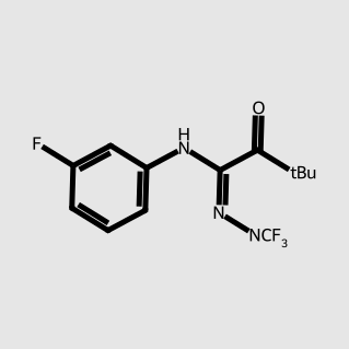 CC(C)(C)C(=O)C(=NNC(F)(F)F)Nc1cccc(F)c1